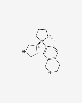 C[C@H]1CCC[N+]1(c1ccc2c(c1)C[N]CC2)[C@H]1CCNC1